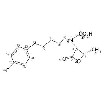 C[C@@H]1OC(=O)[C@@H]1N(CCCCCc1ccc(F)cc1)C(=O)O